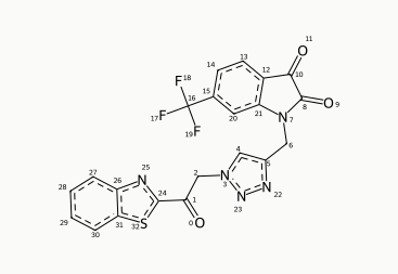 O=C(Cn1cc(CN2C(=O)C(=O)c3ccc(C(F)(F)F)cc32)nn1)c1nc2ccccc2s1